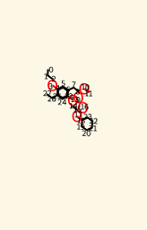 CCCOc1cc(CC(=O)OC)c(OCC(=O)OC2CCCCC2)cc1CC